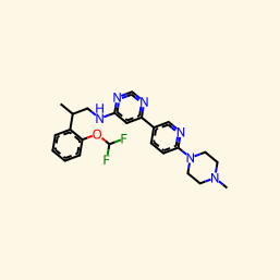 CC(CNc1cc(-c2ccc(N3CCN(C)CC3)nc2)ncn1)c1ccccc1OC(F)F